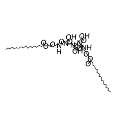 CCCCCCCCCCCCCCCCCC(=O)OCCOCCNC(=O)CN(CCN(CCN(CC(=O)O)CC(=O)NCCOCCOC(=O)CCCCCCCCCCCCCCCCC)CC(=O)O)CC(=O)O